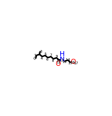 CCC(C)CCCCCCC(=O)NCCCOC